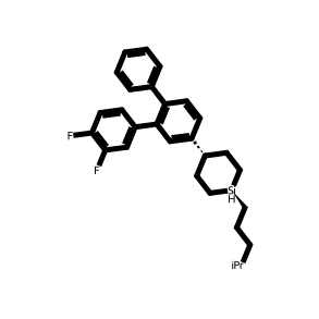 CC(C)CCC[Si@H]1CC[C@H](c2ccc(-c3ccccc3)c(-c3ccc(F)c(F)c3)c2)CC1